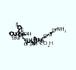 CC(C)[C@H](NC(=O)[C@@H]1CCCN1C(=O)[C@H](CC(=O)O)NC(=O)CCOCCOCCOCCN)C(=O)NCCCN(C(=O)CO)[C@@H](c1cc(-c2cc(F)ccc2F)cn1Cc1ccccc1)C(C)(C)C